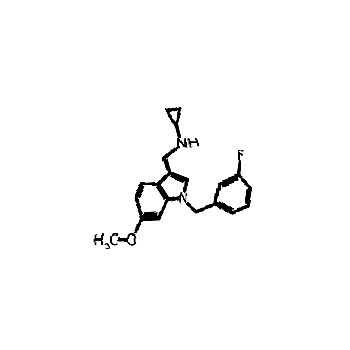 COc1ccc2c(CNC3CC3)cn(Cc3cccc(F)c3)c2c1